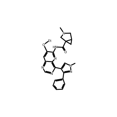 CCOc1cc2ncnc(-c3cn(C)nc3-c3ccccc3)c2nc1NC(=O)C12CC1CN(C)C2